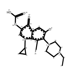 CCN1CCN(c2c(Cl)cc3c(=O)c(OC(=O)O)cn(C4CC4)c3c2F)CC1